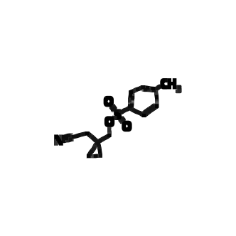 Cc1ccc(S(=O)(=O)OCC2(CC#N)CC2)cc1